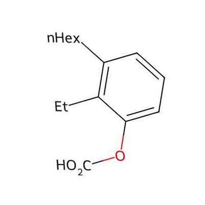 CCCCCCc1cccc(OC(=O)O)c1CC